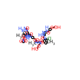 Cc1cccc2c(OC(=O)N(CCOCCO)CCN(C)C(=O)OCc3ccc(NC(=O)[C@H](CCCNC(N)=O)NC(=O)[C@@H](NC(=O)OCN4C(=O)C=CC4=O)C(C)C)cc3)cc3c(c12)[C@H](CCl)CN3C(=O)c1cc2cc(NC(=O)c3ccc(OCCO)cc3)cnc2[nH]1